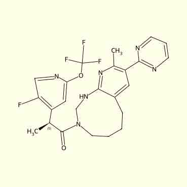 Cc1nc2c(cc1-c1ncccn1)CCCCN(C(=O)[C@@H](C)c1cc(OC(F)(F)F)ncc1F)CN2